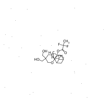 CC(F)(F)C(=O)OC1(C)CC2CC(C2(C)C)C12OCC(CO)(CO)CO2